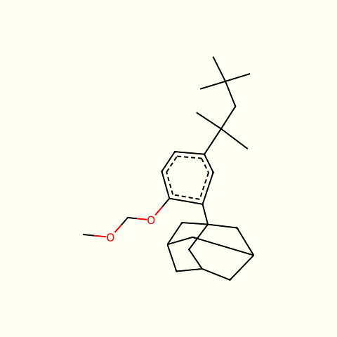 COCOc1ccc(C(C)(C)CC(C)(C)C)cc1C12CC3CC(CC(C3)C1)C2